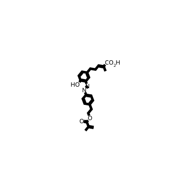 C=C(C)C(=O)OCCc1ccc(/N=N/c2cc(CC/C=C(\C)C(=O)O)ccc2O)cc1